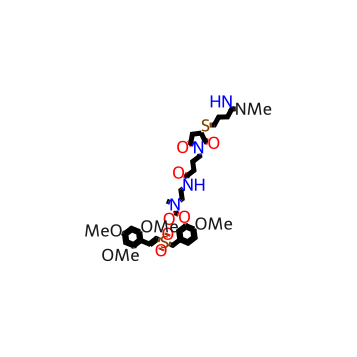 CNC(=N)CCCSC1CC(=O)N(CCCC(=O)NCCN(C)C(=O)Oc2cc(CS(=O)(=O)/C=C/c3c(OC)cc(OC)cc3OC)ccc2OC)C1=O